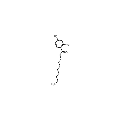 CCCCCCCCOC(=O)c1ccc(Br)cc1Br